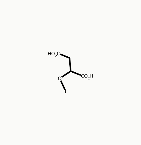 O=C(O)CC(OI)C(=O)O